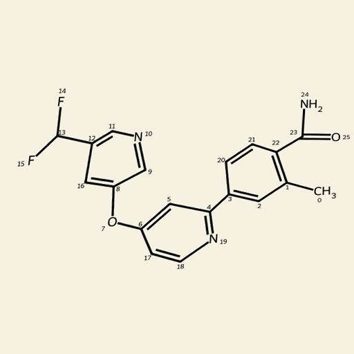 Cc1cc(-c2cc(Oc3cncc(C(F)F)c3)ccn2)ccc1C(N)=O